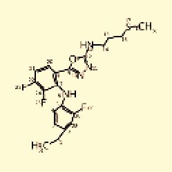 CCc1ccc(Nc2c(-c3nnc(NCCCSC)o3)ccc(F)c2F)c(F)c1